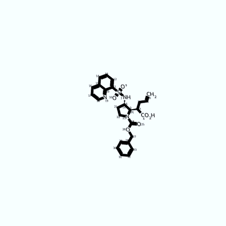 C=CCC(C(=O)O)[C@@H]1[C@@H](NS(=O)(=O)c2cccc3cccnc23)CCN1C(=O)OCc1ccccc1